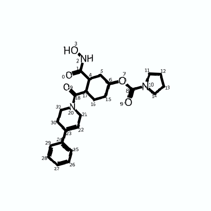 O=C(NO)C1CC(OC(=O)N2CCCC2)CCC1C(=O)N1CC=C(c2ccccc2)CC1